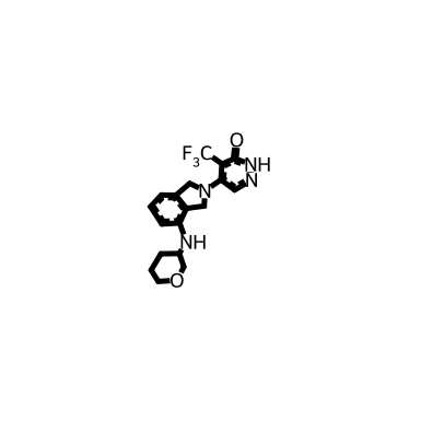 O=c1[nH]ncc(N2Cc3cccc(NC4CCCOC4)c3C2)c1C(F)(F)F